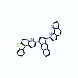 c1ccc2cc3c(-c4ccc5ccc6cccnc6c5n4)ccc(-c4ccc5c(ccc6sc7ccccc7c65)n4)c3cc2c1